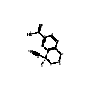 C=C(O)c1ccc2c(c1)[C@](C)(C#N)COC2